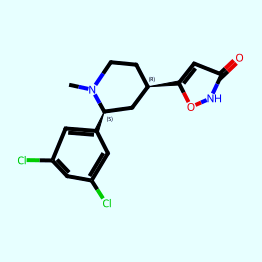 CN1CC[C@@H](c2cc(=O)[nH]o2)C[C@H]1c1cc(Cl)cc(Cl)c1